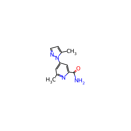 Cc1cc(-n2nccc2C)cc(C(N)=O)n1